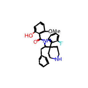 COc1cccc(O)c1C(=O)NC(Cc1ccccc1)C1(c2ccccc2F)CCNCC1